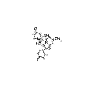 CN1Cc2nc(-c3ccc(F)cc3)c(Nc3ccc(Cl)cc3)n2C(C)(C)C1